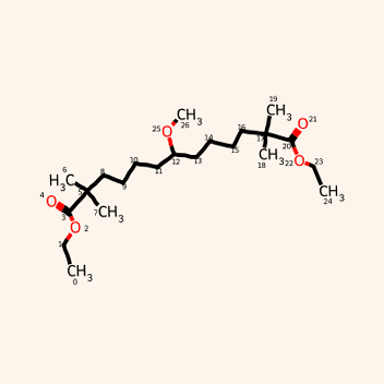 CCOC(=O)C(C)(C)CCCCC(CCCCC(C)(C)C(=O)OCC)OC